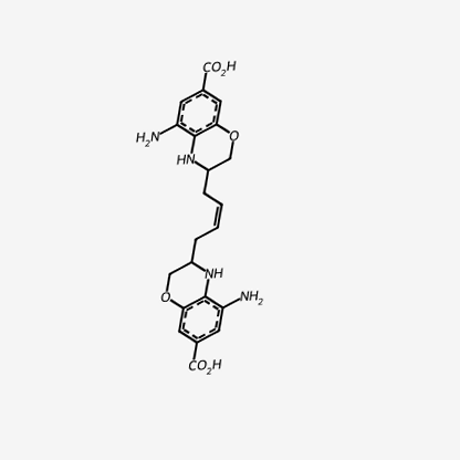 Nc1cc(C(=O)O)cc2c1NC(C/C=C\CC1COc3cc(C(=O)O)cc(N)c3N1)CO2